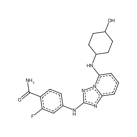 NC(=O)c1ccc(Nc2nc3cccc(NC4CCC(O)CC4)n3n2)cc1F